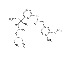 CC[C@@H](CC#N)OC(=O)NC(C)(CC)c1cccc(NC(=O)Nc2ccc(N)c(OC)c2)c1